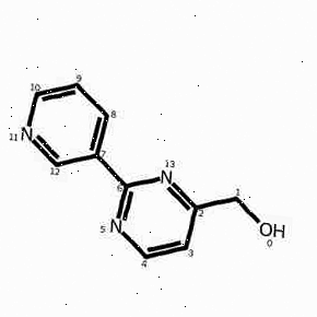 OCc1ccnc(-c2cccnc2)n1